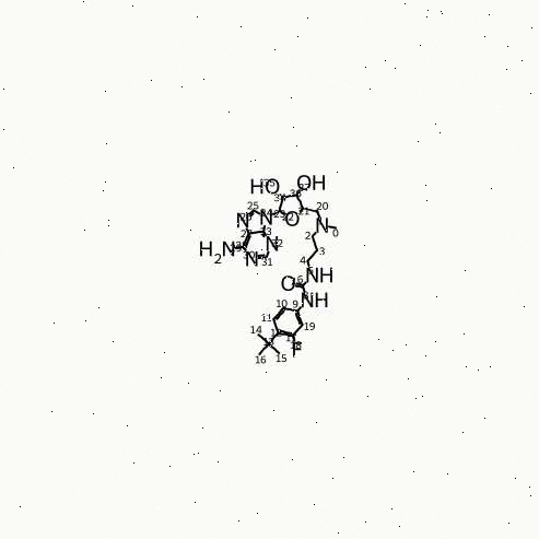 CN(CCCNC(=O)Nc1ccc(C(C)(C)C)c(F)c1)C[C@H]1O[C@@H](n2cnc3c(N)ncnc32)[C@H](O)[C@H]1O